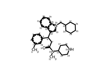 Cc1cccc(C(CC(=O)N(C)C2CCNCC2)c2cn(CC3CCCCC3)c3ccccc23)c1